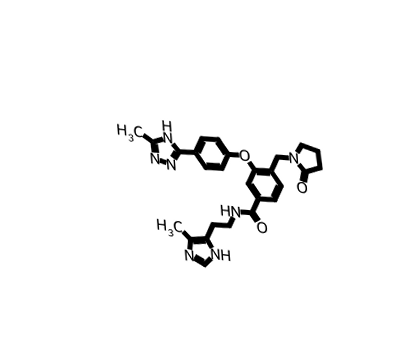 Cc1nnc(-c2ccc(Oc3cc(C(=O)NCCc4[nH]cnc4C)ccc3CN3CCCC3=O)cc2)[nH]1